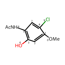 COc1cc(O)c(NC(C)=O)cc1Cl